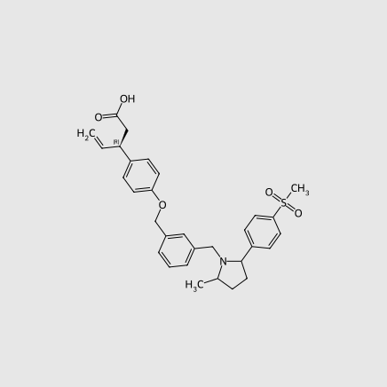 C=C[C@@H](CC(=O)O)c1ccc(OCc2cccc(CN3C(C)CCC3c3ccc(S(C)(=O)=O)cc3)c2)cc1